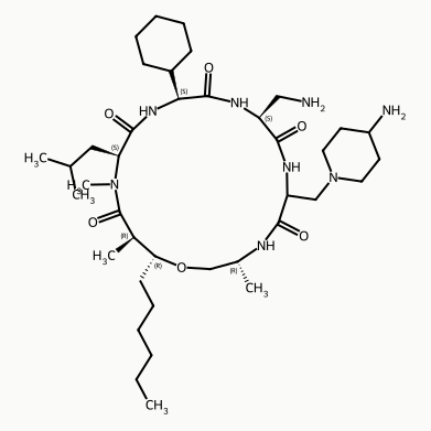 CCCCCC[C@H]1OC[C@@H](C)NC(=O)C(CN2CCC(N)CC2)NC(=O)[C@H](CN)NC(=O)[C@H](C2CCCCC2)NC(=O)[C@H](CC(C)C)N(C)C(=O)[C@@H]1C